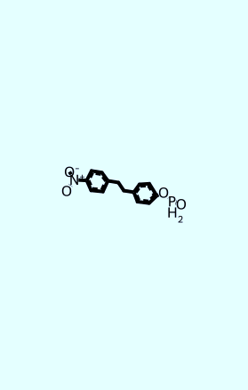 O=[PH2]Oc1ccc(CCc2ccc([N+](=O)[O-])cc2)cc1